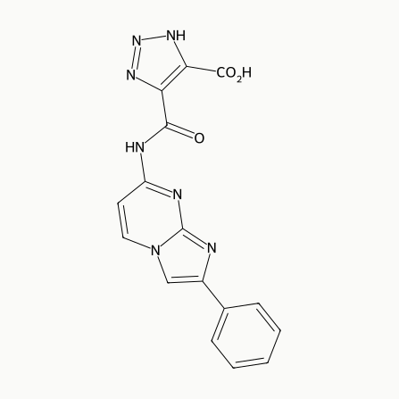 O=C(Nc1ccn2cc(-c3ccccc3)nc2n1)c1nn[nH]c1C(=O)O